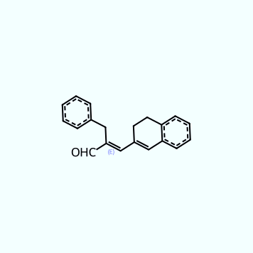 O=C/C(=C/C1=Cc2ccccc2CC1)Cc1ccccc1